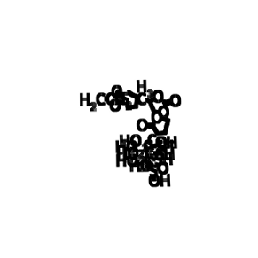 C=C.CC1COC(=O)O1.O=C(O)O.O=C(O)S.O=C(O)S.O=C(O)S.O=C1CCCO1.O=S(O)O.O=S1(=O)CCCC1